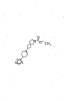 CCOC(=O)N1CCC2(CC(N3CCC(c4ncns4)CC3)C2)C1